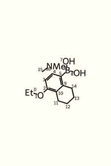 CCOc1ccc(B(O)O)c2c1CCCC2.CNC